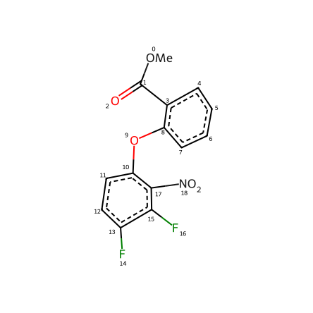 COC(=O)c1ccccc1Oc1ccc(F)c(F)c1[N+](=O)[O-]